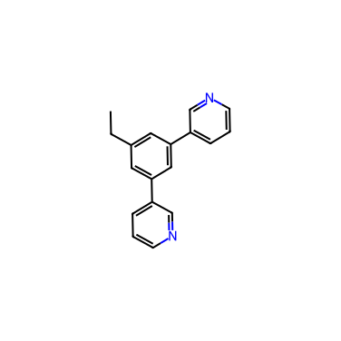 CCc1cc(-c2cccnc2)cc(-c2cccnc2)c1